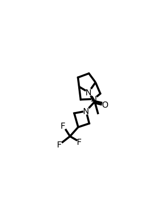 CN1CC2CCC(C1)N2C(=O)N1CC(C(F)(F)F)C1